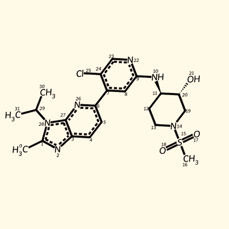 Cc1nc2ccc(-c3cc(N[C@@H]4CCN(S(C)(=O)=O)C[C@H]4O)ncc3Cl)nc2n1C(C)C